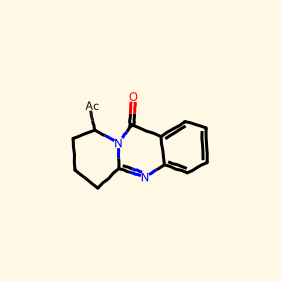 CC(=O)C1CCCc2nc3ccccc3c(=O)n21